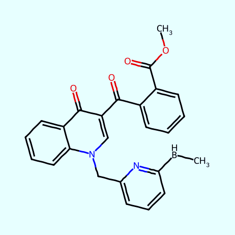 CBc1cccc(Cn2cc(C(=O)c3ccccc3C(=O)OC)c(=O)c3ccccc32)n1